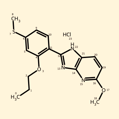 CCCOc1cc(SC)ccc1-c1nc2nc(OC)ccc2[nH]1.Cl